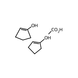 CC(=O)O.OC1=CCCC1.OC1=CCCC1